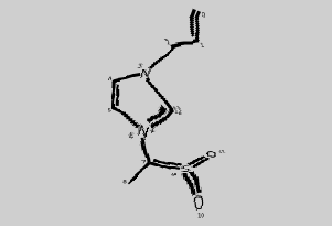 C=CCn1cc[n+](C(C)=S(=O)=O)c1